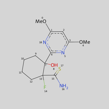 COc1cc(OC)nc(C2(O)CCCCC2(F)C(N)=S)n1